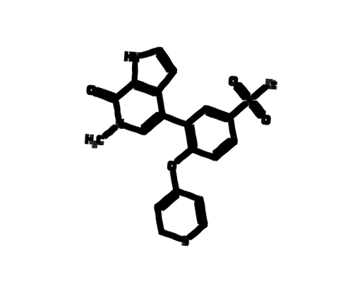 CCS(=O)(=O)c1ccc(OC2=CCSC=C2)c(-c2cn(C)c(=O)c3[nH]ccc23)c1